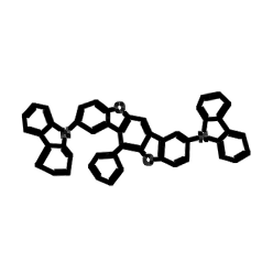 c1ccc(-c2c3oc4ccc(-n5c6ccccc6c6ccccc65)cc4c3cc3oc4ccc(-n5c6ccccc6c6ccccc65)cc4c23)cc1